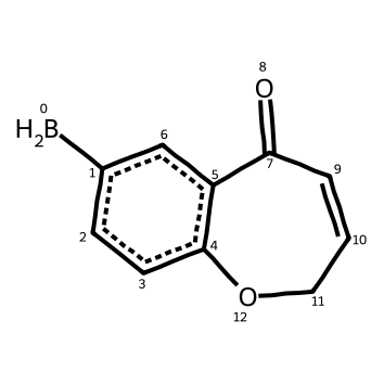 Bc1ccc2c(c1)C(=O)C=CCO2